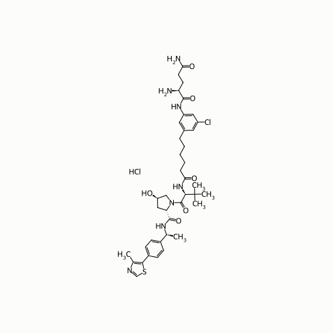 Cc1ncsc1-c1ccc([C@H](C)NC(=O)[C@@H]2C[C@@H](O)CN2C(=O)[C@@H](NC(=O)CCCCCc2cc(Cl)cc(NC(=O)[C@@H](N)CCC(N)=O)c2)C(C)(C)C)cc1.Cl